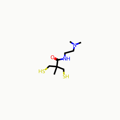 CN(C)CCNC(=O)C(C)(CS)CS